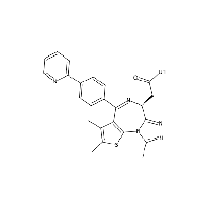 Cc1sc2c(c1C)C(c1ccc(-c3ccccn3)cc1)=N[C@@H](CC(=O)O)c1nnc(C)n1-2